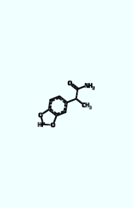 CC(C(N)=O)c1ccc2c(c1)OPO2